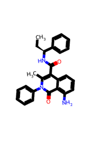 CC[C@H](NC(=O)c1c(C)n(-c2ccccc2)c(=O)c2c(N)cccc12)c1ccccc1